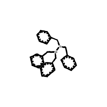 c1ccc([CH2][Sb]([CH2]c2ccccc2)[Sb]([CH2]c2ccccc2)[CH2]c2ccccc2)cc1